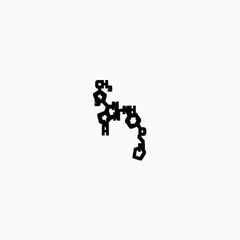 Cc1csc(-c2nc(Nc3ccc(OCCN4CCCC4)cc3)nc3[nH]ccc23)c1